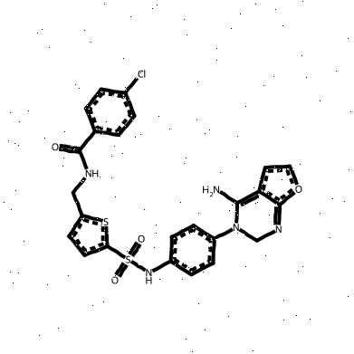 NC1=c2ccoc2=NCN1c1ccc(NS(=O)(=O)c2ccc(CNC(=O)c3ccc(Cl)cc3)s2)cc1